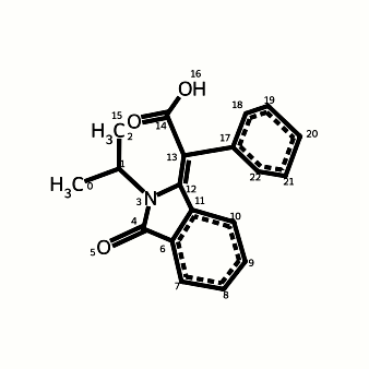 CC(C)N1C(=O)c2ccccc2C1=C(C(=O)O)c1ccccc1